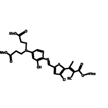 CCCCCCOC(=O)/C(C#N)=C(\C)c1sc(/C=N/c2ccc(N(CCC(=O)OC)CCC(=O)OC)cc2O)cc1Cl